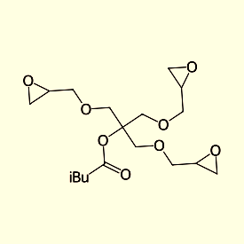 CCC(C)C(=O)OC(COCC1CO1)(COCC1CO1)COCC1CO1